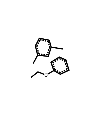 CCOc1ccccc1.Cc1cccc(C)c1